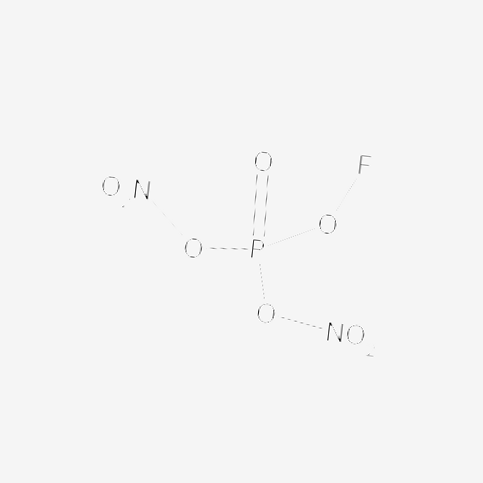 O=[N+]([O-])OP(=O)(OF)O[N+](=O)[O-]